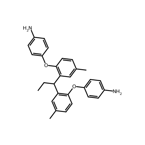 CCC(c1cc(C)ccc1Oc1ccc(N)cc1)c1cc(C)ccc1Oc1ccc(N)cc1